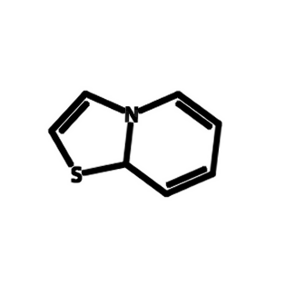 C1=CC2SC=CN2C=C1